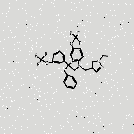 CCN1CC(CNCC(Cc2ccccc2)(c2cccc(OC(F)(F)F)c2)c2cccc(OC(F)(F)F)c2)C=N1